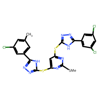 CSc1nc(Sc2nnc(-c3cc(C)cc(Cl)c3)[nH]2)cc(Sc2nnc(-c3cc(Cl)cc(Cl)c3)[nH]2)n1